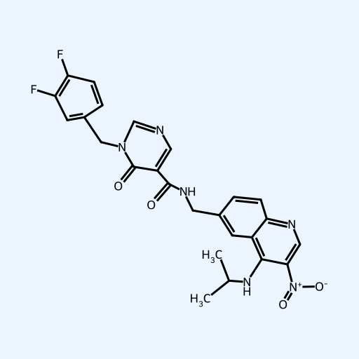 CC(C)Nc1c([N+](=O)[O-])cnc2ccc(CNC(=O)c3cncn(Cc4ccc(F)c(F)c4)c3=O)cc12